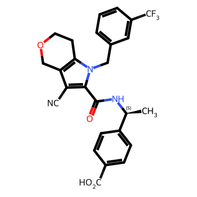 C[C@H](NC(=O)c1c(C#N)c2c(n1Cc1cccc(C(F)(F)F)c1)CCOC2)c1ccc(C(=O)O)cc1